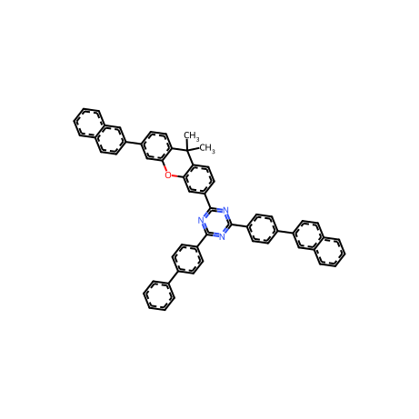 CC1(C)c2ccc(-c3ccc4ccccc4c3)cc2Oc2cc(-c3nc(-c4ccc(-c5ccccc5)cc4)nc(-c4ccc(-c5ccc6ccccc6c5)cc4)n3)ccc21